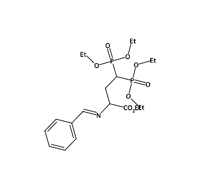 CCOC(=O)C(CC(P(=O)(OCC)OCC)P(=O)(OCC)OCC)N=Cc1ccccc1